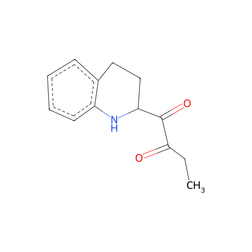 CCC(=O)C(=O)C1CCc2ccccc2N1